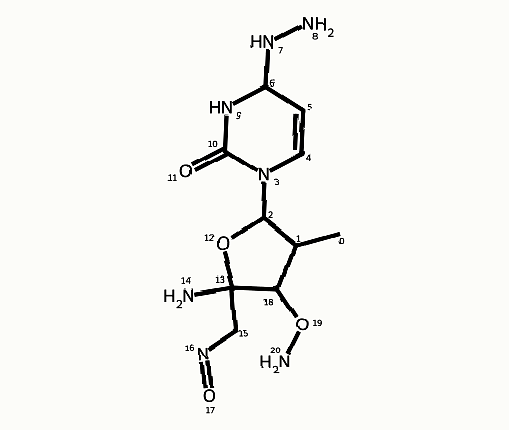 CC1C(N2C=CC(NN)NC2=O)OC(N)(CN=O)C1ON